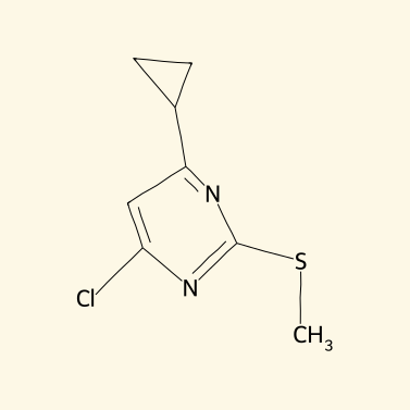 CSc1nc(Cl)cc(C2CC2)n1